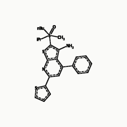 CCCCS(C)(=O)(c1sc2nc(-c3cccs3)cc(-c3ccccc3)c2c1N)C(C)C